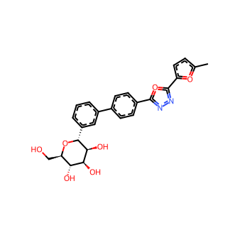 Cc1ccc(-c2nnc(-c3ccc(-c4cccc([C@H]5O[C@H](CO)[C@@H](O)[C@H](O)[C@@H]5O)c4)cc3)o2)o1